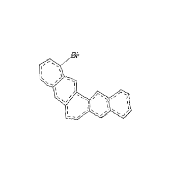 [Bi][c]1cccc2cc3ccc4cc5ccccc5cc4c3cc12